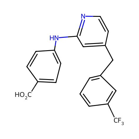 O=C(O)c1ccc(Nc2cc(Cc3cccc(C(F)(F)F)c3)ccn2)cc1